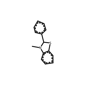 CN1c2ccccc2SC1c1ccccc1